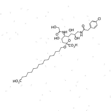 O=C(O)CCCCCCCCCCCCCCCO[C@]1(C(=O)O)C[C@H](O)[C@@H](NC(=O)CO)[C@H]([C@H](O)[C@H](O)CNC(=O)Cc2ccc(Cl)cc2)O1